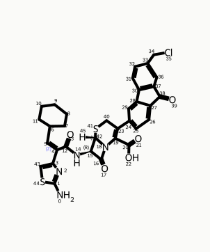 Nc1nc(/C(=C/C2CCCCC2)C(=O)N[C@@H]2C(=O)N3C(C(=O)O)=C(c4ccc5c(c4)-c4ccc(CCl)cc4C5=O)CS[C@@H]23)cs1